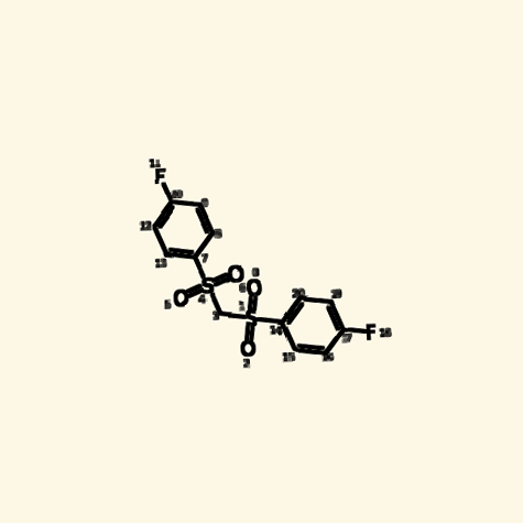 O=S(=O)(CS(=O)(=O)c1ccc(F)cc1)c1ccc(F)cc1